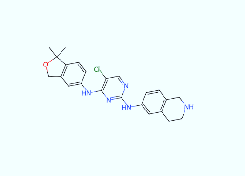 CC1(C)OCc2cc(Nc3nc(Nc4ccc5c(c4)CCNC5)ncc3Cl)ccc21